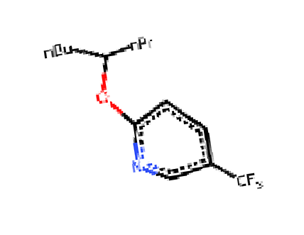 CCCCC(CCC)Oc1ccc(C(F)(F)F)cn1